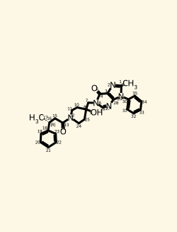 Cc1nc2c(=O)n(CC3(O)CCN(C(=O)C[C@@H](C)c4ccccc4)CC3)cnc2n1-c1ccccc1